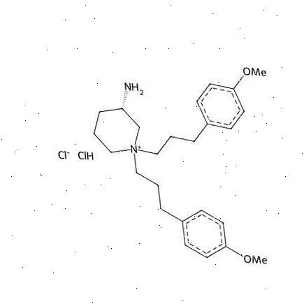 COc1ccc(CCC[N+]2(CCCc3ccc(OC)cc3)CCC[C@H](N)C2)cc1.Cl.[Cl-]